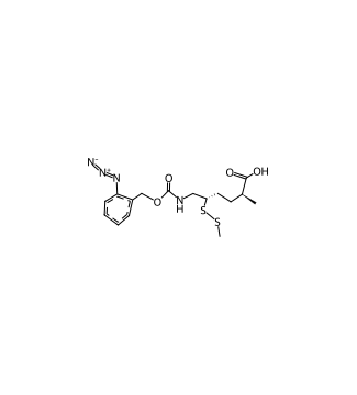 CSS[C@@H](CC[C@H](C)C(=O)O)CNC(=O)OCc1ccccc1N=[N+]=[N-]